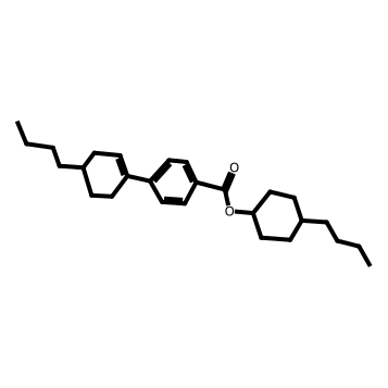 CCCCC1CC=C(c2ccc(C(=O)OC3CCC(CCCC)CC3)cc2)CC1